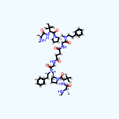 CN[C@@H](C)C(=O)N[C@H](C(=O)N1CCC[C@H]1CN(CCc1ccccc1)C(=O)CNC(=O)CCC(=O)NCC(=O)N(CCc1ccccc1)C[C@@H]1CCCN1C(=O)[C@@H](NC(=O)[C@H](C)NC)C(C)(C)C)C(C)(C)C